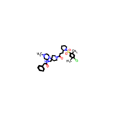 Cc1cc(S(=O)(=O)N2CCCCC2CCC(=O)N2CCC(CNC(=O)Cc3ccccc3)(N3CCN(C)CC3)CC2)c(C)cc1Cl